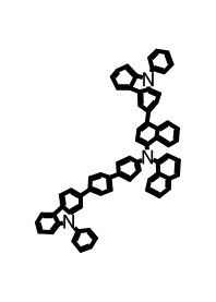 c1ccc(-n2c3ccccc3c3cc(-c4ccc(N(c5ccc(-c6ccc(-c7ccc8c9ccccc9n(-c9ccccc9)c8c7)cc6)cc5)c5cccc6ccccc56)c5ccccc45)ccc32)cc1